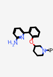 CC(C)N1CCCC(Oc2ccccc2-c2cccc(N)n2)C1